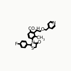 Cc1c(N2C(=O)CSC2c2ccc(F)cc2)ccc(C(=O)O)c1CCOCc1ccncc1